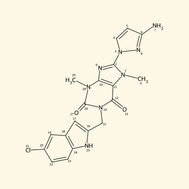 Cn1c(-n2ccc(N)n2)nc2c1c(=O)n(Cc1cc3cc(Cl)ccc3[nH]1)c(=O)n2C